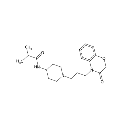 CC(C)C(=O)NC1CCN(CCCN2C(=O)COc3ccccc32)CC1